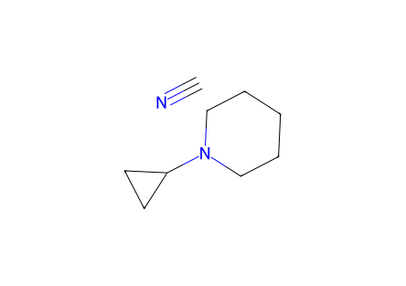 C#N.C1CCN(C2CC2)CC1